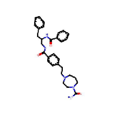 NC(=O)N1CCCN(CCc2ccc(C(=O)NCC(Cc3ccccc3)NC(=O)c3ccccc3)cc2)CC1